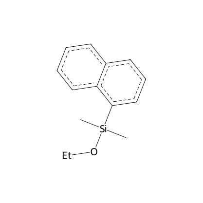 CCO[Si](C)(C)c1cccc2ccccc12